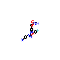 CCNC(=O)c1ccc(-c2ccc(N(Cc3cncn3Cc3ccc(C#N)cc3)C(=O)c3ccc(F)cc3)cc2)o1